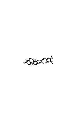 COc1ccc(C=C2C[C@H]3[C@@H]4CCC5N(C)C(=O)C=C[C@]5(C)[C@@H]4CC[C@]3(C)C2O)cc1OC